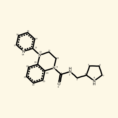 O=C(NCC1CCCN1)N1CCN(c2ccccn2)c2ccccc21